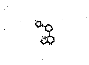 c1cc(-c2ccnc3ccnn23)cc(-n2ccnc2)c1